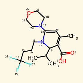 CC1=C(C(=O)O)C(C(C)C)N(CCCC(F)(F)F)C(N2CCOCC2)=C1